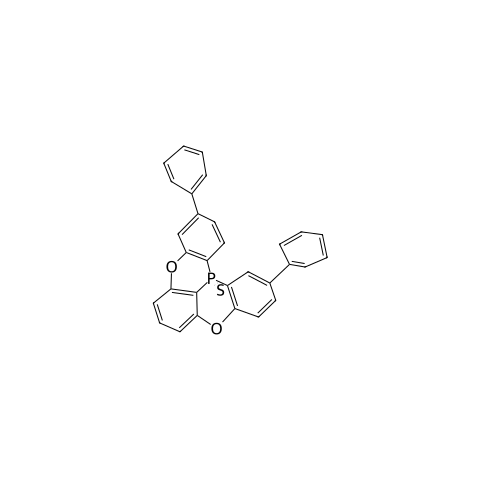 S=P12c3ccc(-c4ccccc4)cc3Oc3cccc(c31)Oc1ccc(-c3ccccc3)cc12